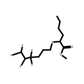 CCCCC(SCCCC(F)(F)C(F)C(F)F)C(=O)OC